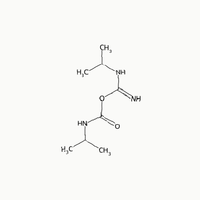 CC(C)NC(=N)OC(=O)NC(C)C